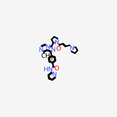 Cc1nccn2c(C3CCCN3C(=O)C=CCN3CCCC3)nc(-c3ccc(C(=O)Nc4ccccn4)cc3)c12